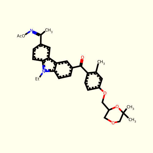 CCn1c2ccc(C(=O)c3ccc(OCC4COCC(C)(C)O4)cc3C)cc2c2cc(/C(C)=N\OC(C)=O)ccc21